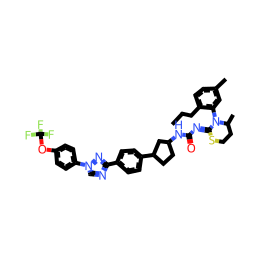 CCCc1ccc(C)cc1N1/C(=N/C(=O)NC2CCC(c3ccc(-c4ncn(-c5ccc(OC(F)(F)F)cc5)n4)cc3)C2)SCCC1C